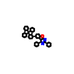 c1ccc(-c2nc(-c3ccccc3)c3c(n2)oc2ccc(-c4cccc5c4-c4ccccc4C54c5ccccc5-c5ccccc54)cc23)cc1